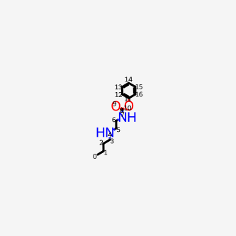 CCCCNCCNC(=O)Oc1ccccc1